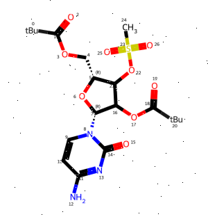 CC(C)(C)C(=O)OC[C@H]1O[C@@H](n2ccc(N)nc2=O)C(OC(=O)C(C)(C)C)C1OS(C)(=O)=O